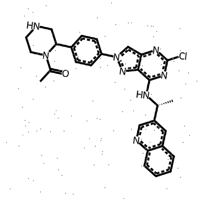 CC(=O)N1CCNCC1c1ccc(-n2cc3nc(Cl)nc(N[C@H](C)c4cnc5ccccc5c4)c3n2)cc1